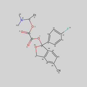 CCC(OC(=O)C(=O)OC1(c2ccc(F)cc2)OCc2cc(C#N)ccc21)N(C)C